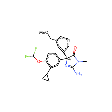 COCc1cccc([C@]2(c3ccc(OC(F)F)c(C4CC4)c3)N=C(N)N(C)C2=O)c1